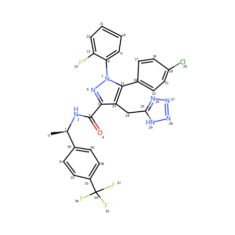 C[C@@H](NC(=O)c1nn(-c2ccccc2F)c(-c2ccc(Cl)cc2)c1Cc1nnn[nH]1)c1ccc(C(F)(F)F)cc1